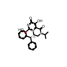 CC(C)N1C[C@H](C(c2ccccc2)c2ccccc2)n2c(CO)nc(=O)c(O)c2C1=O